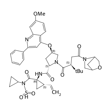 C=C[C@@H]1C[C@]1(NC(=O)[C@@H]1C[C@@H](Oc2cc(-c3ccccc3)nc3cc(OC)ccc23)CN1C(=O)[C@@H](CC(=O)N1CC2CC1CO2)C(C)(C)C)C(=O)N(C1CC1)[SH](=O)=O